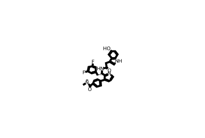 CN(C)C(=O)c1ccc(-c2cccnc2[C@H](Cc2cc(F)cc(F)c2)NC(=O)Cc2c[nH]c3ccc(O)cc23)cc1